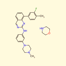 C1COCCN1.Cc1ccc(-c2cccc3cnc(Nc4cccc(N5CCN(C)CC5)c4)nc23)cc1F